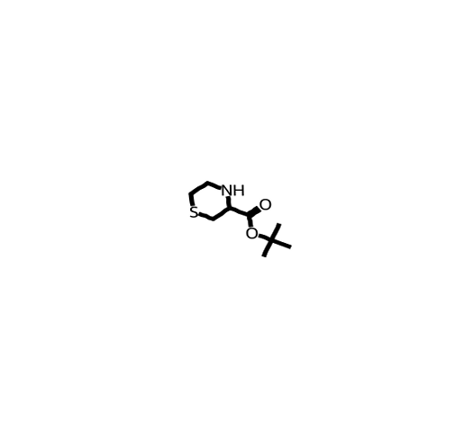 CC(C)(C)OC(=O)C1CSCCN1